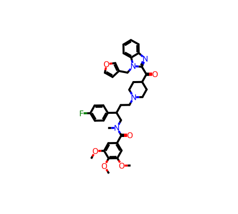 COc1cc(C(=O)N(C)CC(CCN2CCC(C(=O)c3nc4ccccc4n3Cc3ccoc3)CC2)c2ccc(F)cc2)cc(OC)c1OC